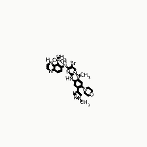 COc1cc(N2CCOCC2)c(-c2cn(C)nn2)cc1Nc1ncc(Br)c(Nc2ccc3nccnc3c2P(C)(C)=O)n1